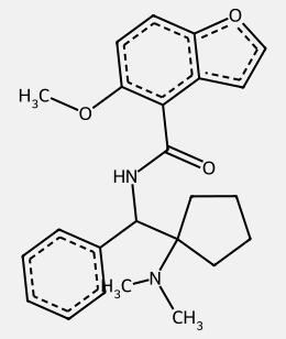 COc1ccc2occc2c1C(=O)NC(c1ccccc1)C1(N(C)C)CCCC1